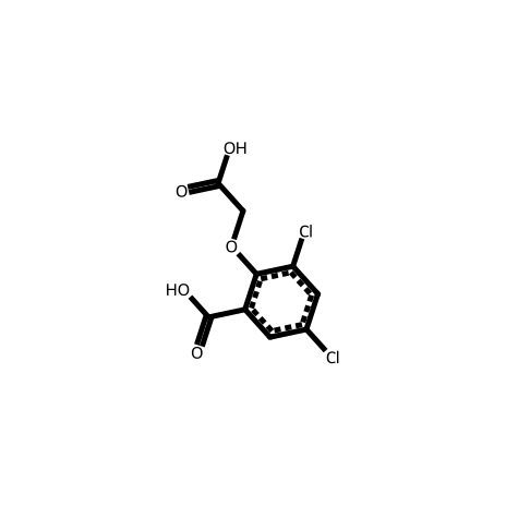 O=C(O)COc1c(Cl)cc(Cl)cc1C(=O)O